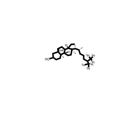 [2H]C([2H])([2H])C(CCC[C@@H](C)[C@H]1CC[C@H]2[C@@H]3CC=C4CC(O)CC[C@]4(C)[C@H]3CC[C@]12C)C([2H])([2H])[2H]